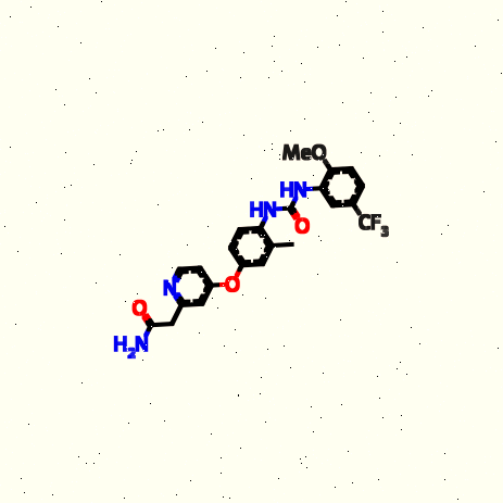 COc1ccc(C(F)(F)F)cc1NC(=O)Nc1ccc(Oc2ccnc(CC(N)=O)c2)cc1C